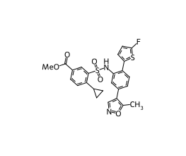 COC(=O)c1ccc(C2CC2)c(S(=O)(=O)Nc2cc(-c3cnoc3C)ccc2-c2ccc(F)s2)c1